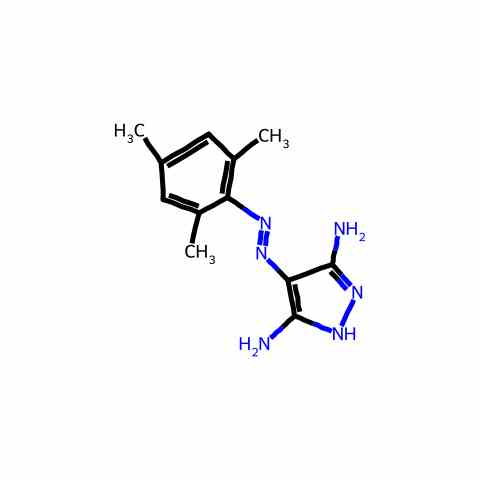 Cc1cc(C)c(N=Nc2c(N)n[nH]c2N)c(C)c1